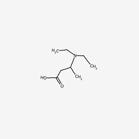 CCN(CC)C(C)CC(=O)O